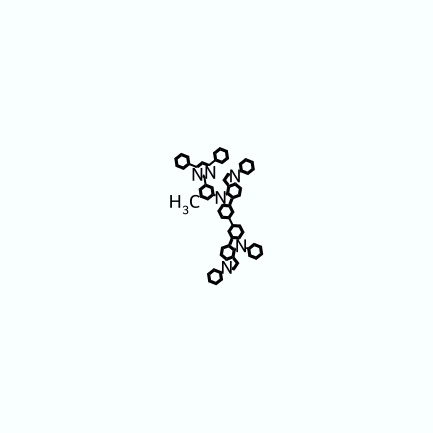 Cc1cc(-c2nc(-c3ccccc3)cc(-c3ccccc3)n2)cc(-n2c3ccc(-c4ccc5c(c4)c4ccc6c(ccn6-c6ccccc6)c4n5-c4ccccc4)cc3c3ccc4c(ccn4-c4ccccc4)c32)c1